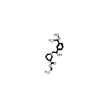 CCOC(=O)[C@H]1CCCN(CC(O)c2cccc(/C(N)=N/O)c2)C1